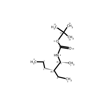 CCC[C@@H](CC)[C@@H](C)NC(=O)OC(C)(C)C